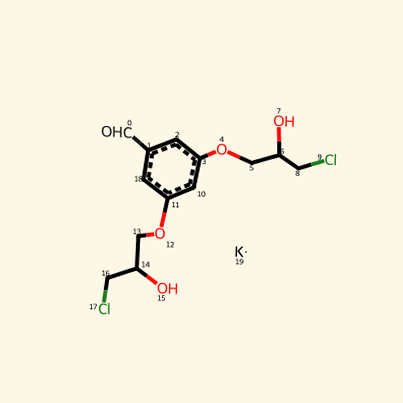 O=Cc1cc(OCC(O)CCl)cc(OCC(O)CCl)c1.[K]